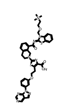 C[Si](C)(C)CCOCn1c(=NC(=O)c2cccc3c2CN(c2nc(C(=O)O)c(CCOc4cccc(-n5ncc6cncnc65)c4)s2)CC3)sc2ccccc21